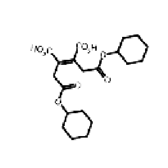 O=C(CC(C(=O)O)=C(CC(=O)OC1CCCCC1)C(=O)O)OC1CCCCC1